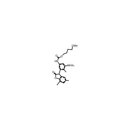 COCCCCOC(=O)Nc1cc(NC(C)=O)c(C)c(C2C(=O)Oc3c(C)cc(C)cc32)c1